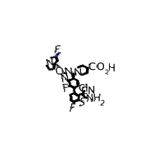 N#Cc1c(N)sc2c(F)ccc(-c3c(Cl)cc4c(N5CCC(C(=O)O)CC5)nc(OC[C@@]56CCCN5C/C(=C\F)C6)nc4c3F)c12